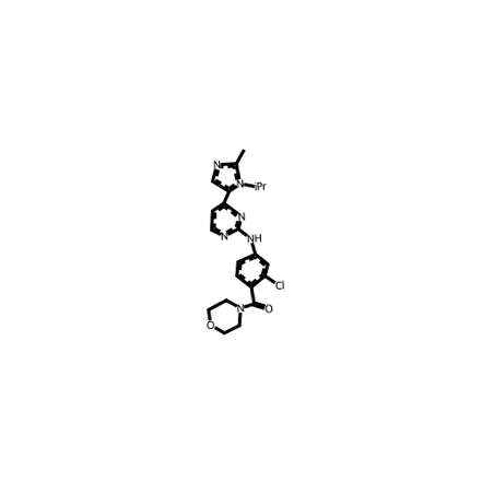 Cc1ncc(-c2ccnc(Nc3ccc(C(=O)N4CCOCC4)c(Cl)c3)n2)n1C(C)C